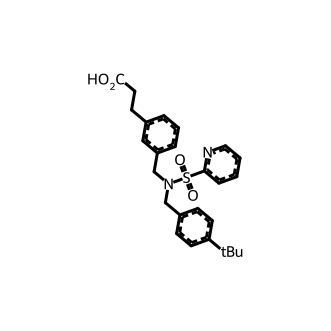 CC(C)(C)c1ccc(CN(Cc2cccc(CCC(=O)O)c2)S(=O)(=O)c2ccccn2)cc1